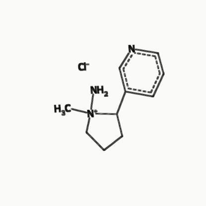 C[N+]1(N)CCCC1c1cccnc1.[Cl-]